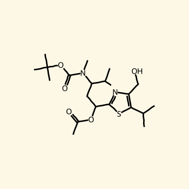 CC(=O)OC(CC(C(C)C)N(C)C(=O)OC(C)(C)C)c1nc(CO)c(C(C)C)s1